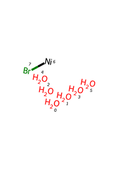 O.O.O.O.O.O.[Ni][Br]